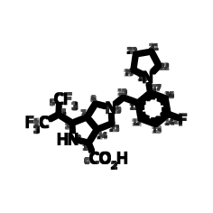 O=C(O)C1NC(C(C(F)(F)F)C(F)(F)F)C2CN(Cc3ccc(F)cc3N3CCCC3)CC12